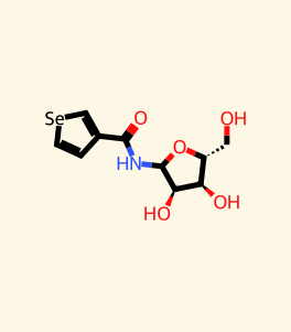 O=C(NC1O[C@H](CO)[C@@H](O)[C@H]1O)c1cc[se]c1